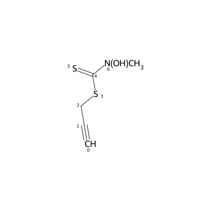 C#CCSC(=S)N(C)O